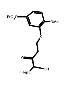 CCCCCCCC(O)C(=O)CCSc1cc(C(=O)OCC)ccc1OC